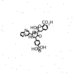 O=C(NC(C(=O)N[C@H]1Cc2cccc(C(=O)O)c2OB1O)c1ccc(P(=O)(O)O)cc1)c1cnc2cccn2c1